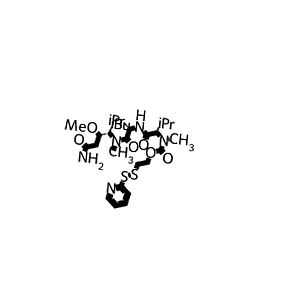 CC[C@H](C)[C@@H](C(CC(N)=O)OC)N(C)C(=O)[C@@H](NC(=O)[C@H](C(C)C)N(C)C(=O)OCCSSc1ccccn1)C(C)C